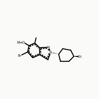 CC[C@H]1CC[C@H](n2cc3cc(Br)c(OC)c(C)c3n2)CC1